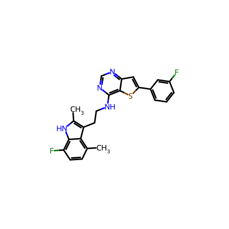 Cc1[nH]c2c(F)ccc(C)c2c1CCNc1ncnc2cc(-c3cccc(F)c3)sc12